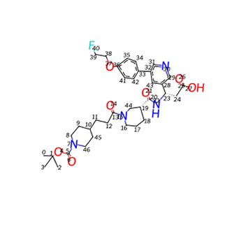 CC(C)(C)OC(=O)N1CCC(CCC(=O)N2CCC[C@@H](C(=O)N[C@@H](CC(=O)O)c3cncc(-c4ccc(OCCF)cc4)c3)C2)CC1